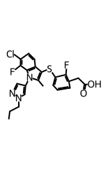 CCCn1cc(-n2c(C)c(Sc3cccc(CC(=O)O)c3F)c3ccc(Cl)c(F)c32)cn1